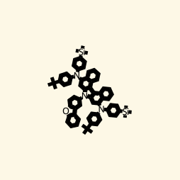 CC(C)(C)c1ccc(N(c2ccc([Si](C)(C)C)cc2)c2cc3c(c4ccccc24)c2c4ccccc4c(N(c4ccc(C(C)(C)C)cc4)c4ccc([Si](C)(C)C)cc4)cc2n3-c2ccc3oc4ccccc4c3c2)cc1